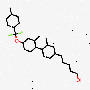 CC1CCC(C(F)(F)OC2CCC(C3CCC(CCCCCO)CC3C)C(C)C2)CC1